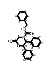 O=C1CN(C(=O)OCc2ccccc2)C(c2ccccc2)C(c2ccccc2)O1